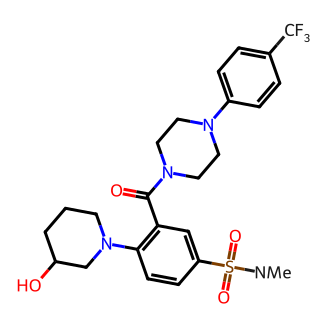 CNS(=O)(=O)c1ccc(N2CCCC(O)C2)c(C(=O)N2CCN(c3ccc(C(F)(F)F)cc3)CC2)c1